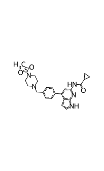 CS(=O)(=O)N1CCN(Cc2ccc(-c3cc(NC(=O)C4CC4)nc4[nH]ccc34)cc2)CC1